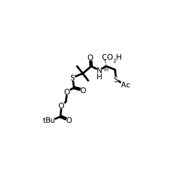 CC(=O)SC[C@H](NC(=O)C(C)(C)SC(=O)OCOC(=O)C(C)(C)C)C(=O)O